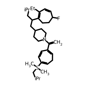 C=C(C1=CCC=C(S(C)(C)CC(C)C)C=C1)N1CCC(CC(CC(C)C)C2=C(CC)C=CC(F)CC2)CC1